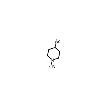 CC(=O)C1CCN(C#N)CC1